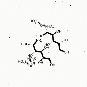 CC(=O)N[C@@H](C=O)[C@@H](O)[C@@H](O)[C@H](O)CO.N[C@@H](C=O)[C@@H](O)[C@@H](O)[C@H](O)CO.O=S(=O)(O)O.O=S(=O)(O)O.O=S(=O)(O)O